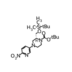 CC(C)(C)OC(=O)N1CCN(c2ccc([N+](=O)[O-])nc2)C[C@@H]1CO[Si](C)(C)C(C)(C)C